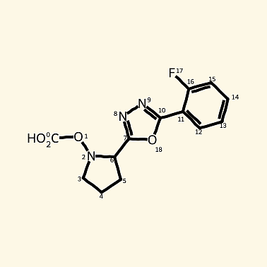 O=C(O)ON1CCCC1c1nnc(-c2ccccc2F)o1